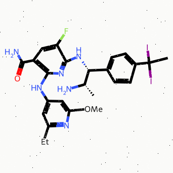 CCc1cc(Nc2nc(N[C@H](c3ccc(C(C)(I)I)cc3)[C@H](C)N)c(F)cc2C(N)=O)cc(OC)n1